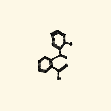 O=C(O)c1ccccc1C(=O)c1ccccc1Cl